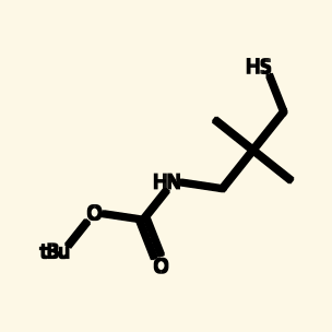 CC(C)(CS)CNC(=O)OC(C)(C)C